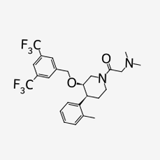 Cc1ccccc1[C@@H]1CCN(C(=O)CN(C)C)C[C@@H]1OCc1cc(C(F)(F)F)cc(C(F)(F)F)c1